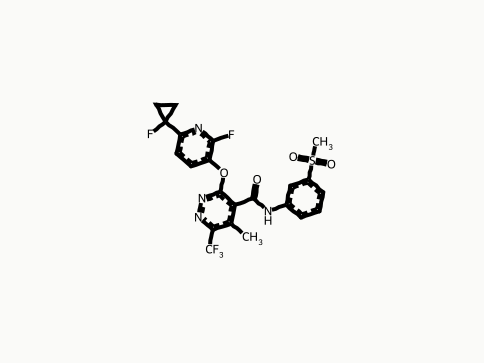 Cc1c(C(F)(F)F)nnc(Oc2ccc(C3(F)CC3)nc2F)c1C(=O)Nc1cccc(S(C)(=O)=O)c1